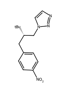 CC(C)(C)[C@@H](Cc1ccc([N+](=O)[O-])cc1)Cn1ccnn1